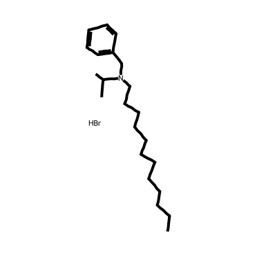 Br.CCCCCCCCCCCCN(Cc1ccccc1)C(C)C